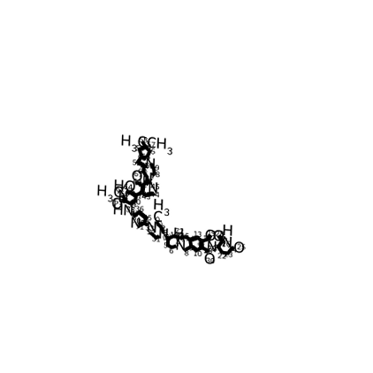 C[C@H]1CN([C@@H]2CCN3Cc4cc5c(cc4C[C@@H]3C2)C(=O)N(C2CCC(=O)NC2=O)C5=O)CCN1c1ccc(Nc2cc(-c3ccnc(N4CCn5c(cc6c5CC(C)(C)C6)C4=O)c3CO)cn(C)c2=O)nc1